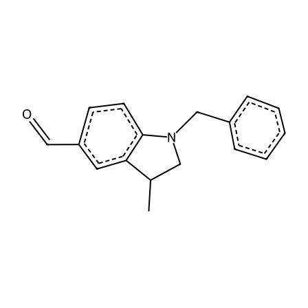 CC1CN(Cc2ccccc2)c2ccc(C=O)cc21